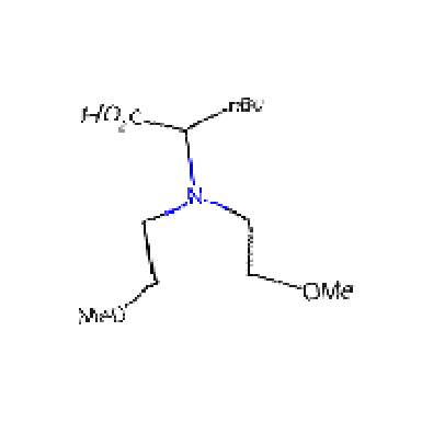 CCCCC(C(=O)O)N(CCOC)CCOC